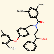 COc1cc(OC)cc(C(=O)N(CCC(O)c2ccccc2)Cc2ccc(Oc3cc(C)ccc3C(=O)O)cc2)c1